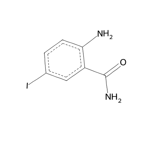 NC(=O)c1cc(I)ccc1N